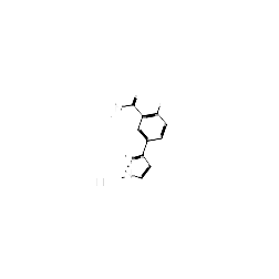 Cc1ccc(-c2ccn(C)n2)cc1C(N)=O